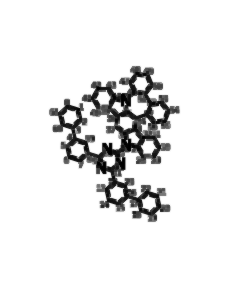 c1ccc(-c2cccc(-c3nc(-c4cccc(-c5ccccc5)c4)nc(-n4c5ccccc5c5c6c7c(cc54)c4ccccc4n7-c4ccccc4-c4ccccc4-6)n3)c2)cc1